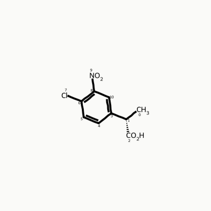 C[C@H](C(=O)O)c1ccc(Cl)c([N+](=O)[O-])c1